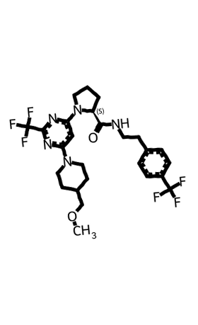 COCC1CCN(c2cc(N3CCC[C@H]3C(=O)NCCc3ccc(C(F)(F)F)cc3)nc(C(F)(F)F)n2)CC1